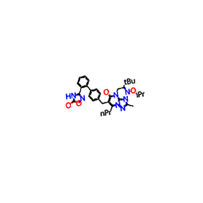 CCCc1c(Cc2ccc(-c3ccccc3-c3noc(=O)[nH]3)cc2)c(=O)n(CC(=NOC(C)C)C(C)(C)C)c2nc(C)nn12